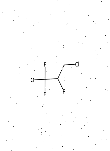 [O]C(F)(F)C(F)CCl